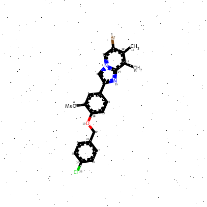 COc1cc(-c2cn3cc(Br)c(C)c(C)c3n2)ccc1OCc1ccc(Cl)cc1